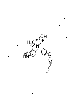 C[C@@H]1Cc2c(ccc3[nH]ncc23)[C@@H](c2ccc(OC3CN(CCCF)C3)cn2)N1CC(F)(F)CO